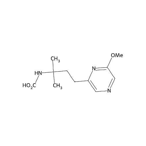 COc1cncc(CCC(C)(C)NC(=O)O)n1